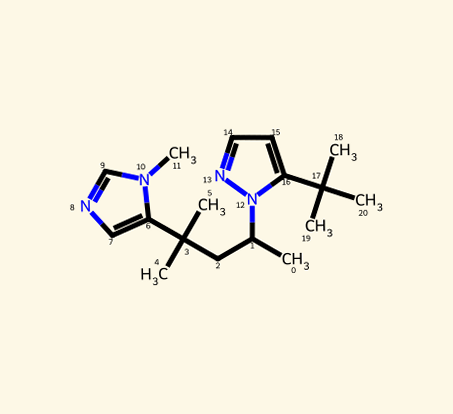 CC(CC(C)(C)c1cncn1C)n1nccc1C(C)(C)C